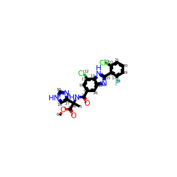 COC(=O)C(C)(NC(=O)c1cc(Cl)c2[nH]c(-c3c(F)cccc3Cl)nc2c1)c1c[nH]cn1